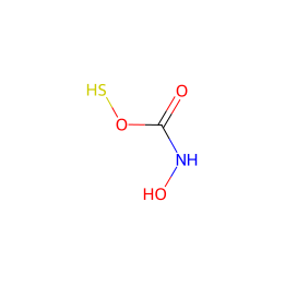 O=C(NO)OS